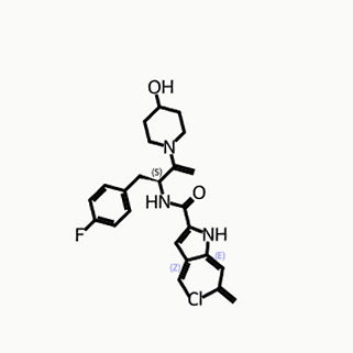 C=C(Cl)/C=c1/[nH]c(C(=O)N[C@@H](Cc2ccc(F)cc2)C(=C)N2CCC(O)CC2)c/c1=C/C